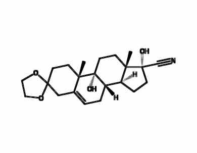 C[C@]12CCC3(CC1=CC[C@H]1[C@@H]4CC[C@](O)(C#N)[C@@]4(C)CC[C@@]12O)OCCO3